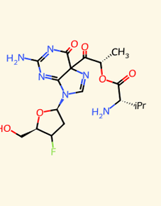 CC(C)[C@H](N)C(=O)O[C@@H](C)C(=O)C12N=CN([C@H]3CC(F)[C@@H](CO)O3)C1=NC(N)=NC2=O